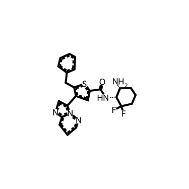 N[C@@H]1CCCC(F)(F)[C@@H]1NC(=O)c1cc(-c2cnc3cccnn23)c(Cc2ccccc2)s1